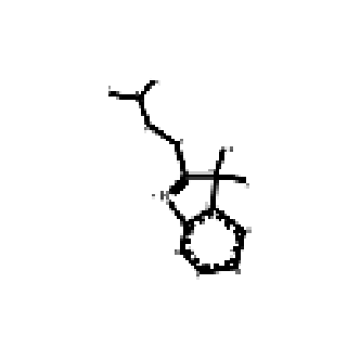 CC(C)CCC1=Nc2ccccc2C1(C)C